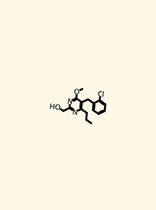 CCCc1nc(CO)nc(OC)c1Cc1ccccc1Cl